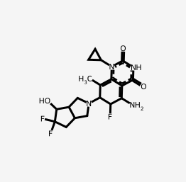 CC1=c2c(c(=O)[nH]c(=O)n2C2CC2)=C(N)C(F)C1N1CC2CC(F)(F)C(O)C2C1